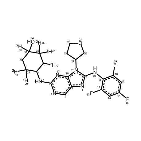 [2H]C1C(Nc2ncc3nc(Nc4c(F)cc(F)cc4F)n(C4CCOC4)c3n2)C([2H])([2H])CC([2H])(O)C1([2H])[2H]